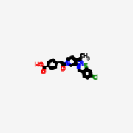 Cc1nn(Cc2ccc(Cl)cc2F)c2c1CCN(C(=O)C[C@H]1CC[C@H](C(=O)O)CC1)C2